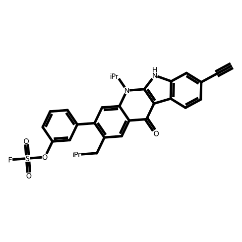 C#Cc1ccc2c(c1)[nH]c1c2c(=O)c2cc(CC(C)C)c(-c3cccc(OS(=O)(=O)F)c3)cc2n1C(C)C